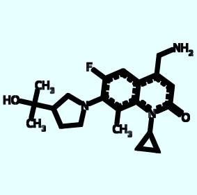 Cc1c(N2CCC(C(C)(C)O)C2)c(F)cc2c(CN)cc(=O)n(C3CC3)c12